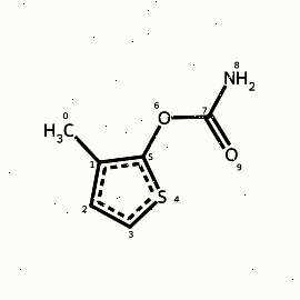 Cc1ccsc1OC(N)=O